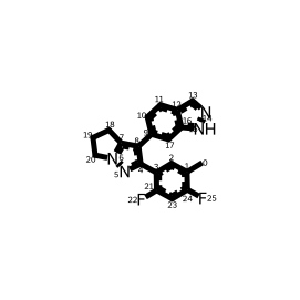 Cc1cc(-c2nn3c(c2-c2ccc4cn[nH]c4c2)CCC3)c(F)cc1F